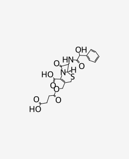 O=C(O)CCC(=O)OCC1=C(C(=O)O)N2C(=O)[C@@H](NC(=O)C(O)c3ccccc3)[C@@H]2SC1